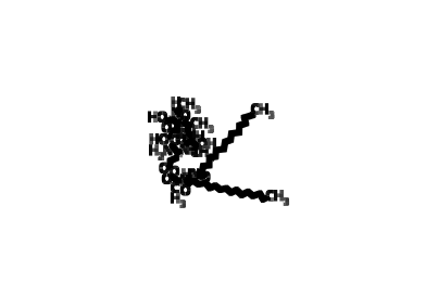 CCCCCCCCCCCCCCCC(=O)NC(CCCCCCCCCCCCCC)C(=O)N[C@@H](C)C(=O)OC(=O)CC[C@@H](NC(=O)[C@@H](NCC(C)O[C@H]1[C@H](O)[C@@H](CO)O[C@H](O)[C@@H]1NC(C)=O)[C@@H](C)O)C(N)=O